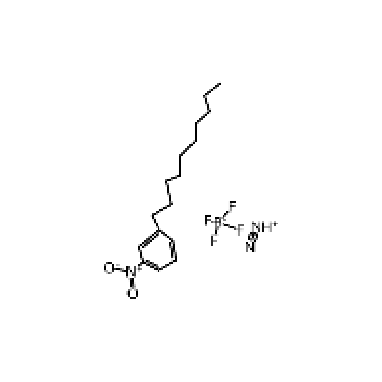 CCCCCCCCCCc1cccc([N+](=O)[O-])c1.F[B-](F)(F)F.N#[NH+]